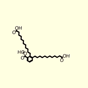 O=C(O)CCCCCCCCCCCc1cccc(C(=O)OO)c1CCCCCCCCCCCC(=O)O